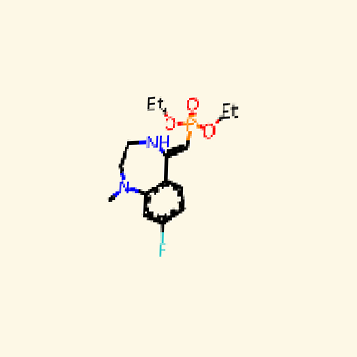 CCOP(=O)(C=C1NCCN(C)c2cc(F)ccc21)OCC